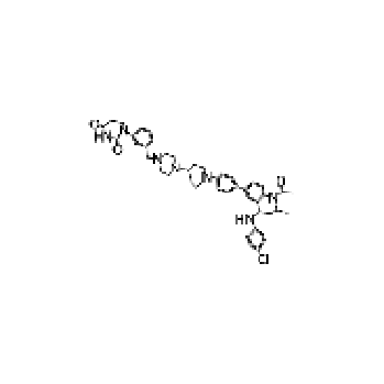 CC(=O)N1c2ccc(-c3ccc(N4CCC(N5CCN(Cc6cccc(N7CCC(=O)NC7=O)c6)CC5)CC4)cc3)cc2C(Nc2ccc(Cl)cc2)CC1C